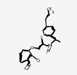 CC(NC(=O)COc1cccc(Cl)c1Cl)c1ccc(CCC(F)(F)F)cn1